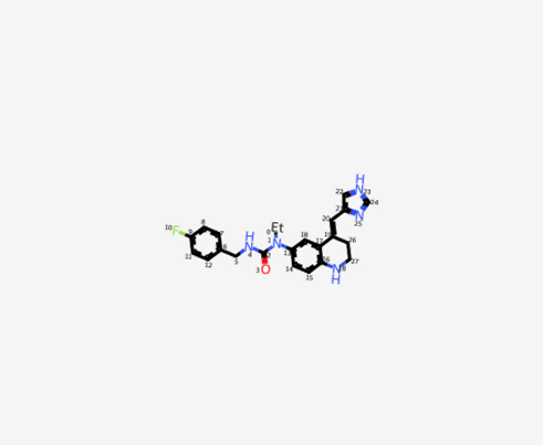 CCN(C(=O)NCc1ccc(F)cc1)c1ccc2c(c1)/C(=C/c1c[nH]cn1)CCN2